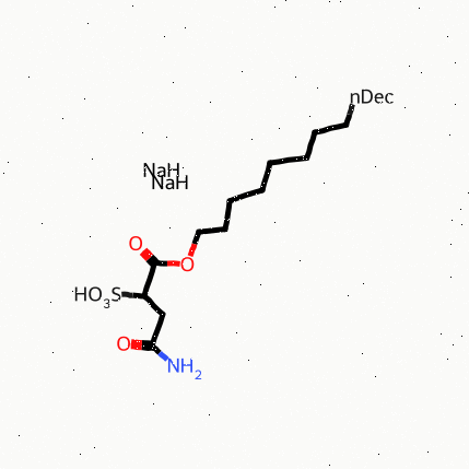 CCCCCCCCCCCCCCCCCCOC(=O)C(CC(N)=O)S(=O)(=O)O.[NaH].[NaH]